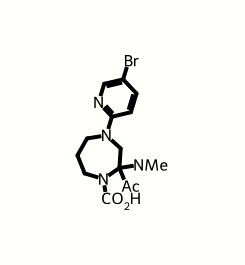 CNC1(C(C)=O)CN(c2ccc(Br)cn2)CCCN1C(=O)O